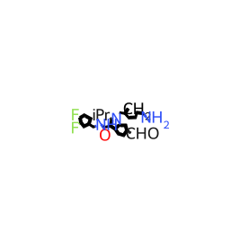 C=C(/C=C\C=C/N)Cn1c(C(C)C)c(C(=O)NCc2ccc(F)c(F)c2)c2ccc(C=O)cc21